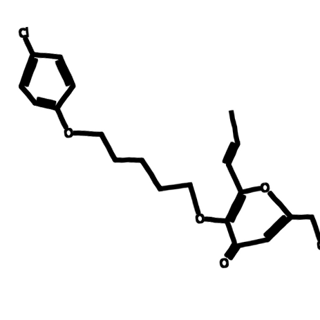 C/C=C/c1oc(CO)cc(=O)c1OCCCCCOc1ccc(Cl)cc1